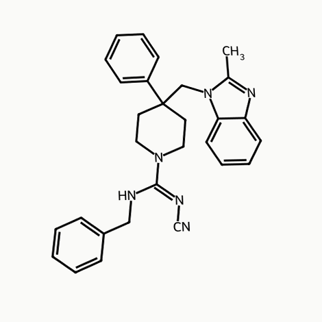 Cc1nc2ccccc2n1CC1(c2ccccc2)CCN(/C(=N/C#N)NCc2ccccc2)CC1